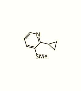 CSc1cccnc1C1CC1